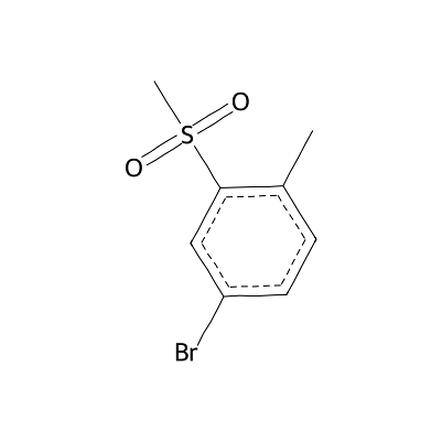 Cc1ccc(Br)cc1S(C)(=O)=O